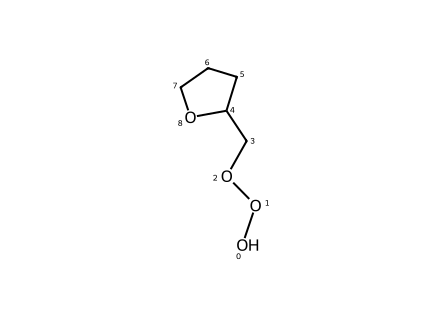 OOOCC1CCCO1